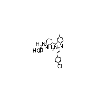 Cc1ccc2nc(C=Cc3ccc(Cl)cc3)nc(C3CCCC(N)(N)C3)c2c1.Cl.Cl